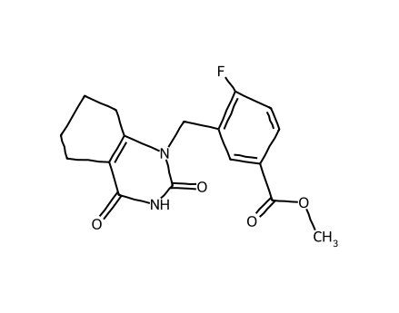 COC(=O)c1ccc(F)c(Cn2c3c(c(=O)[nH]c2=O)CCCC3)c1